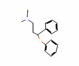 CN(C)CCC(Oc1ccccc1)c1ccccc1